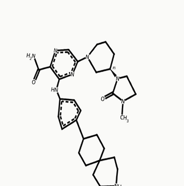 CN1CCN([C@@H]2CCCN(c3cnc(C(N)=O)c(Nc4ccc(C5CCC6(CCNCC6)CC5)cc4)n3)C2)C1=O